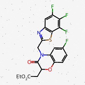 CCOC(=O)CC1Oc2ccc(F)cc2N(Cc2nc3cc(F)c(F)c(F)c3s2)C1=O